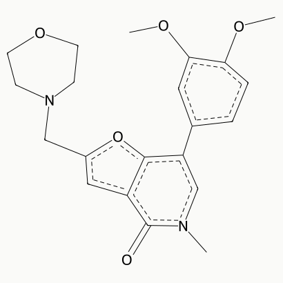 COc1ccc(-c2cn(C)c(=O)c3cc(CN4CCOCC4)oc23)cc1OC